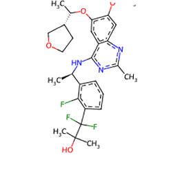 COc1cc2nc(C)nc(N[C@H](C)c3cccc(C(F)(F)C(C)(C)O)c3F)c2cc1OC(C)[C@@H]1CCOC1